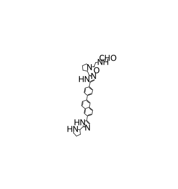 O=CNCC(=O)N1CCCC1c1ncc(-c2ccc(-c3ccc4cc(-c5cnc(C6CCCN6)[nH]5)ccc4c3)cc2)[nH]1